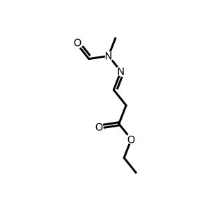 CCOC(=O)CC=NN(C)C=O